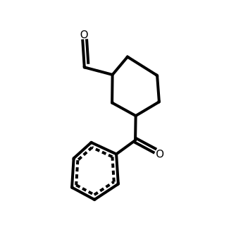 O=CC1CCCC(C(=O)c2ccccc2)C1